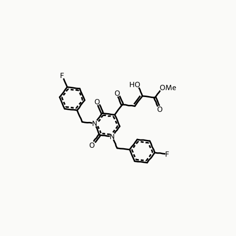 COC(=O)C(O)=CC(=O)c1cn(Cc2ccc(F)cc2)c(=O)n(Cc2ccc(F)cc2)c1=O